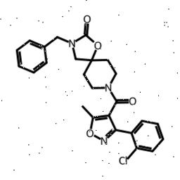 Cc1onc(-c2ccccc2Cl)c1C(=O)N1CCC2(CC1)CN(Cc1ccccc1)C(=O)O2